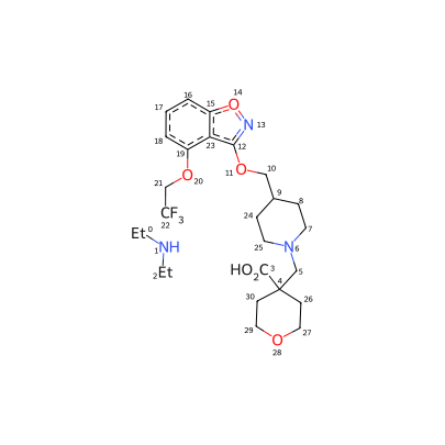 CCNCC.O=C(O)C1(CN2CCC(COc3noc4cccc(OCC(F)(F)F)c34)CC2)CCOCC1